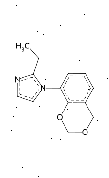 CCc1nccn1-c1cccc2c1OCOC2